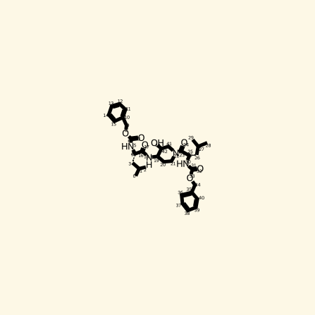 CC(C)C[C@H](NC(=O)OCc1ccccc1)C(=O)NC1CCN(C(=O)[C@H](CC(C)C)NC(=O)OCc2ccccc2)CC1O